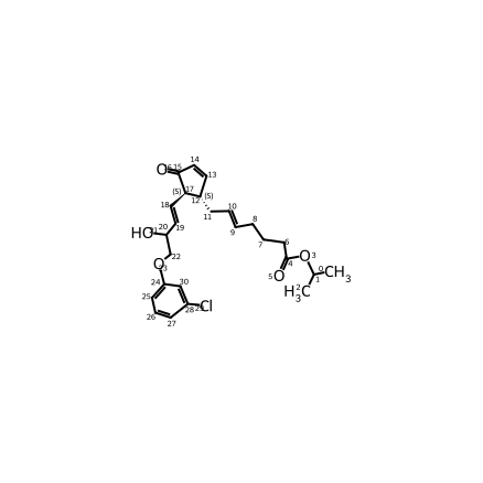 CC(C)OC(=O)CCCC=CC[C@H]1C=CC(=O)[C@@H]1C=CC(O)COc1cccc(Cl)c1